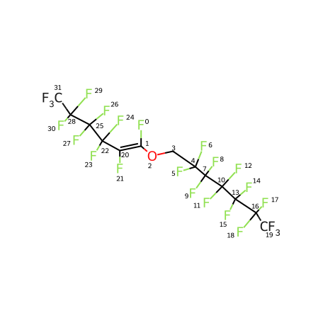 FC(OCC(F)(F)C(F)(F)C(F)(F)C(F)(F)C(F)(F)C(F)(F)F)=C(F)C(F)(F)C(F)(F)C(F)(F)C(F)(F)F